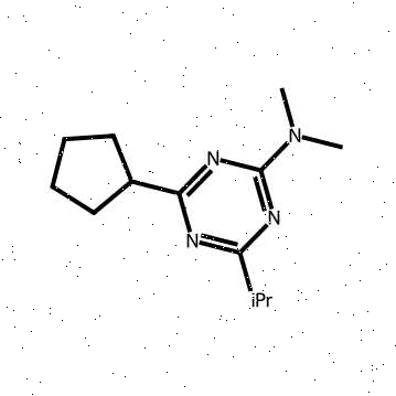 CC(C)c1nc(C2CCCC2)nc(N(C)C)n1